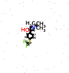 CC(C)(C)N1CC(O)(c2ccc(SC(F)F)cc2)C1